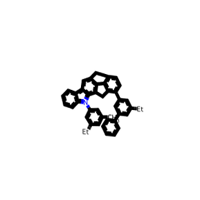 CCc1cc(-c2ccccc2)cc(-c2ccc3c4c2Cc2c-4c(cc4c5ccccc5n(-c5cc(C)cc(CC)c5)c24)C3)c1